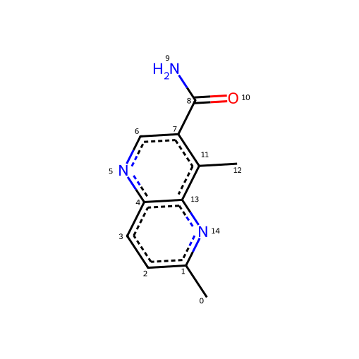 Cc1ccc2ncc(C(N)=O)c(C)c2n1